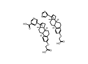 C[C@]12CC[C@@H]3c4ccc(OCC(=O)O)cc4CC[C@H]3[C@@H]1CC=C2c1cncc(C(=O)O)c1.C[C@]12CC[C@@H]3c4ccc(OCC(=O)O)cc4CC[C@H]3[C@@H]1CC=C2c1cncnc1